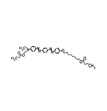 CCCC(=O)OCCCCCCCCOc1ccc(N=Nc2ccc(N=Nc3ccc(N(CC)CCOC(=O)CC)cc3)cc2)cc1